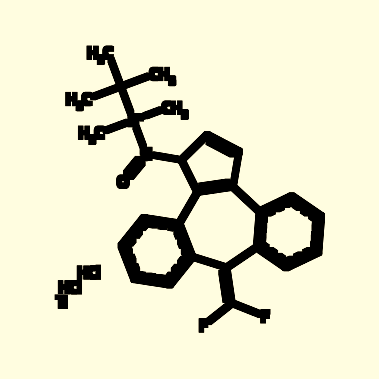 CC(C)(C)[N+](C)(C)[Si](=O)C1C=CC2=C1c1ccccc1C(=C(F)F)c1ccccc12.Cl.Cl.[Ti]